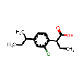 CCC(C)c1ccc(C(CC)C(=O)O)c(Cl)c1